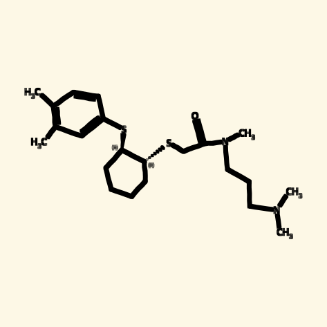 Cc1ccc(S[C@@H]2CCCC[C@H]2SCC(=O)N(C)CCCN(C)C)cc1C